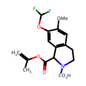 C=C(C)OC(=O)C1c2cc(OC(F)F)c(OC)cc2CCN1C(=O)O